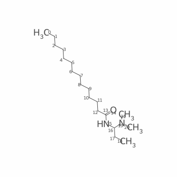 CCCCCCCCCCCCCC(=O)NC(CC)N(C)C